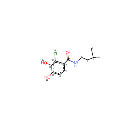 CC(C)CCNC(=O)c1ccc(O)c(O)c1Cl